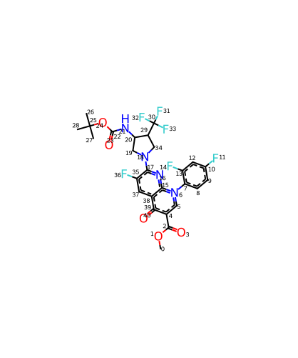 COC(=O)c1cn(-c2ccc(F)cc2F)c2nc(N3CC(NC(=O)OC(C)(C)C)C(C(F)(F)F)C3)c(F)cc2c1=O